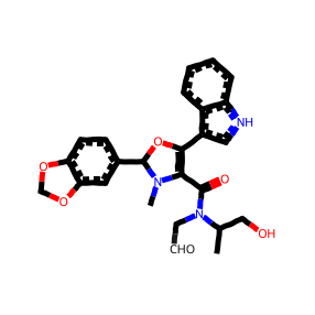 CC(CO)N(CC=O)C(=O)C1=C(c2c[nH]c3ccccc23)OC(c2ccc3c(c2)OCO3)N1C